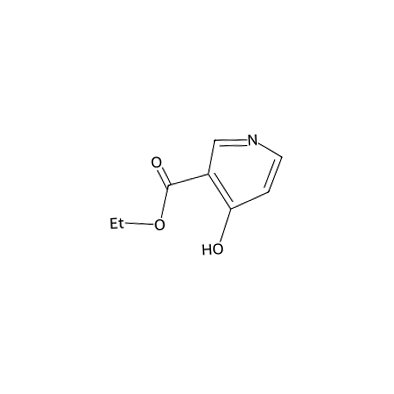 CCOC(=O)c1cnccc1O